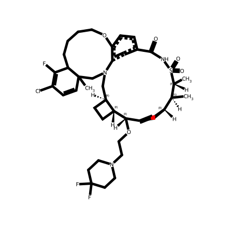 C[C@@H]1[C@@H](C)S(=O)(=O)NC(=O)c2ccc3c(c2)N(C[C@@H]2CC[C@H]2[C@@H](OCCN2CCC(F)(F)CC2)C2=C[C@H]1C2)CC1(C)C=CC(Cl)=C(F)C1CCCCO3